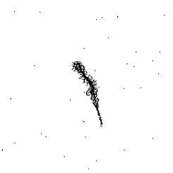 CC#CC#COCCOCCOC(=O)CCCCCCCCCCOc1ccc(C)cc1